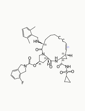 Cc1cccc(C)c1CN[C@H]1CCCCC/C=C\[C@@H]2C[C@@]2(C(=O)NS(=O)(=O)C2CC2)NC(=O)[C@@H]2C[C@@H](OC(=O)N3Cc4cccc(F)c4C3)CN2C1=O